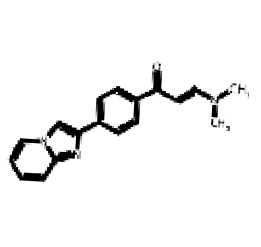 CN(C)C=CC(=O)c1ccc(-c2cn3ccccc3n2)cc1